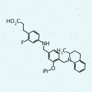 CC(C)Oc1cc(CNc2ccc(CCC(=O)O)c(F)c2)ccc1CN1c2ccccc2CCC1C